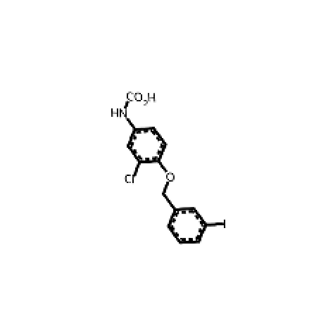 O=C(O)Nc1ccc(OCc2cccc(I)c2)c(Cl)c1